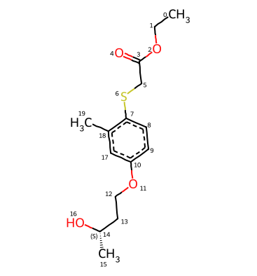 CCOC(=O)CSc1ccc(OCC[C@H](C)O)cc1C